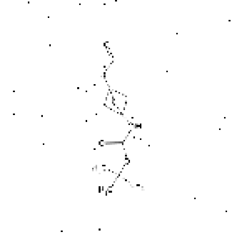 CC(C)(C)OC(=O)NC12CC(OC=O)(C1)C2